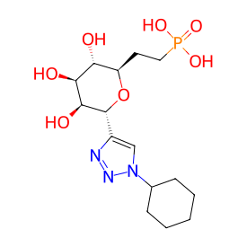 O=P(O)(O)CC[C@H]1O[C@H](c2cn(C3CCCCC3)nn2)[C@@H](O)[C@@H](O)[C@@H]1O